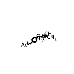 CC(=O)SCc1ccc(OCC[Si](C)(C)C)cc1